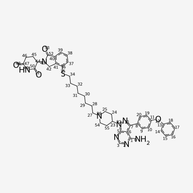 Nc1ncnc2c1c(-c1ccc(Oc3ccccc3)cc1)nn2C1CCN(CCCCCCCCSc2cccc3c2CN(C2CCC(=O)NC2=O)C3=O)CC1